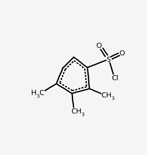 Cc1ccc(S(=O)(=O)Cl)c(C)c1C